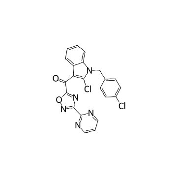 O=C(c1nc(-c2ncccn2)no1)c1c(Cl)n(Cc2ccc(Cl)cc2)c2ccccc12